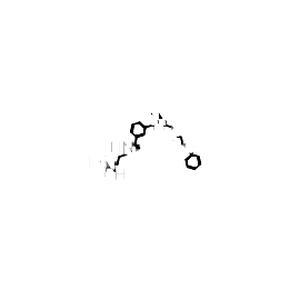 CN(C)CCCNC(=O)c1cccc(-c2nnc(CSCCOc3ccccc3)o2)c1